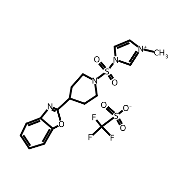 C[n+]1ccn(S(=O)(=O)N2CCC(c3nc4ccccc4o3)CC2)c1.O=S(=O)([O-])C(F)(F)F